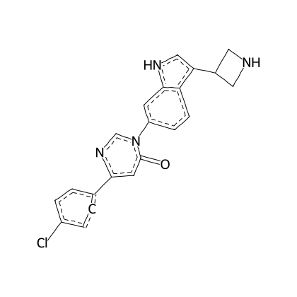 O=c1cc(-c2ccc(Cl)cc2)ncn1-c1ccc2c(C3CNC3)c[nH]c2c1